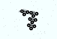 [2H][PH](c1ccccc1)(c1ccccc1)c1ccccc1.[2H][PH](c1ccccc1)(c1ccccc1)c1ccccc1.[2H][PH](c1ccccc1)(c1ccccc1)c1ccccc1.[2H][PH](c1ccccc1)(c1ccccc1)c1ccccc1.[Pd]